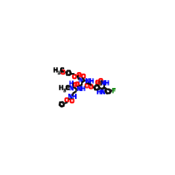 CCNC(=O)C(CCCNC(=O)OCc1ccccc1)NC(=O)CC1C(NC(=O)COc2ccc3c(c2)S(=O)(=O)NCc2c-3[nH]c3ccc(F)cc23)C(=O)N1CC(=O)OCc1ccc(OC)cc1